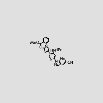 COC(=O)c1ccccc1-n1cc(-c2cnc(-n3ncc4cc(C#N)cnc43)cc2NC(C)C)nn1